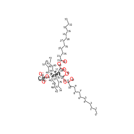 CCCCCCCCCCCC(=O)OC(=O)/C=C\C(=O)OC(=O)CCCCCCCCCCC.CCC[CH2][Sn][CH2]CCC.CCC[CH2][Sn][CH2]CCC.O=C([O-])[O-].[Ca+2]